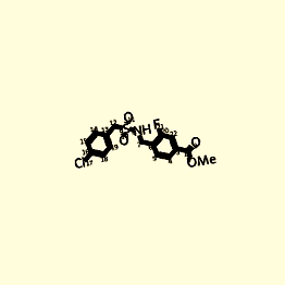 COC(=O)c1ccc(CNS(=O)(=O)Cc2ccc(Cl)cc2)c(F)c1